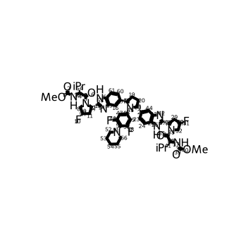 COC(=O)N[C@H](C(=O)N1C[C@H](F)C[C@H]1c1nc2cc([C@H]3CC[C@H](c4ccc5[nH]c([C@@H]6C[C@@H](F)CN6C(=O)[C@@H](NC(=O)OC)C(C)C)nc5c4)N3c3cc(F)c(N4CCCCC4)c(F)c3)ccc2[nH]1)C(C)C